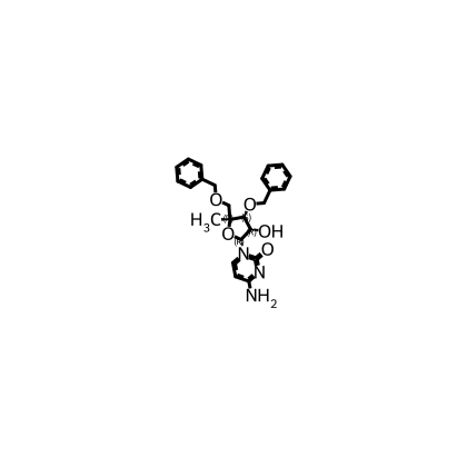 C[C@]1(COCc2ccccc2)O[C@@H](n2ccc(N)nc2=O)[C@H](O)[C@@H]1OCc1ccccc1